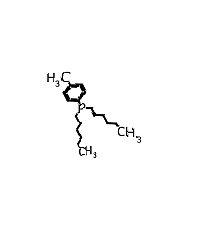 CCCCCCP(CCCCCC)c1ccc(C)cc1